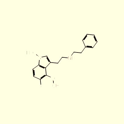 COc1c(F)ccc2c1c(CCNCCc1ccccc1)cn2C